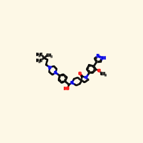 COc1cc(N2CCC3(CCN(C(O)c4ccc(N5CCN(CCC(C)(C)C)CC5)cc4)CC3)C2=O)ccc1-c1cn[nH]c1